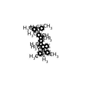 Cc1ccc(N(c2ccc3c(c2)C(C)(C)C2C=C4C(=CC32)C(C)(C)c2cc(N(c3ccc(C)cc3C)c3ccc(C)cc3C)c3ccccc3c24)c2ccc(C)cc2C)c(C)c1